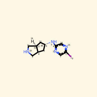 Ic1cnc(N[C@@H]2CC3CNC[C@H]3C2)cn1